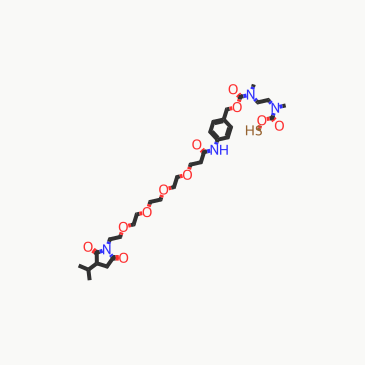 CC(C)C1CC(=O)N(CCOCCOCCOCCOCCC(=O)Nc2ccc(COC(=O)N(C)CCN(C)C(=O)OS)cc2)C1=O